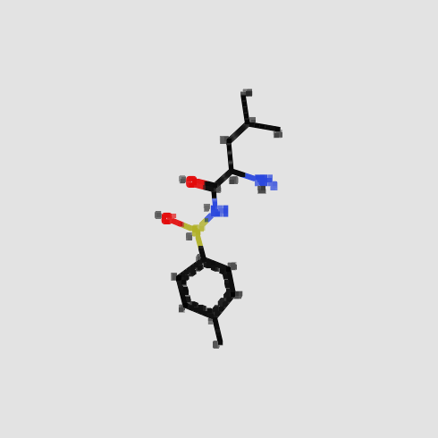 Cc1ccc([S+]([O-])NC(=O)C(N)CC(C)C)cc1